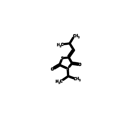 CC(C)/C=C1\SC(=O)N(C(C)C)C1=O